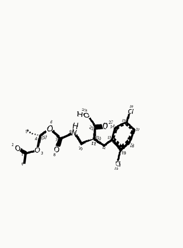 CC(=O)O[C@H](C)OC(=O)NC[C@H](Cc1cc(Cl)ccc1Cl)C(=O)O